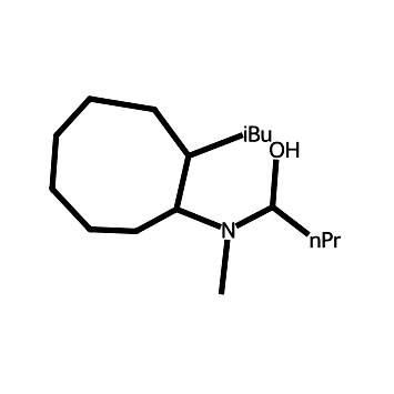 CCCC(O)N(C)C1CCCCCCC1C(C)CC